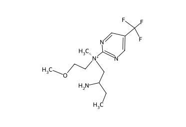 CCC(N)C[N@@+](C)(CCOC)c1ncc(C(F)(F)F)cn1